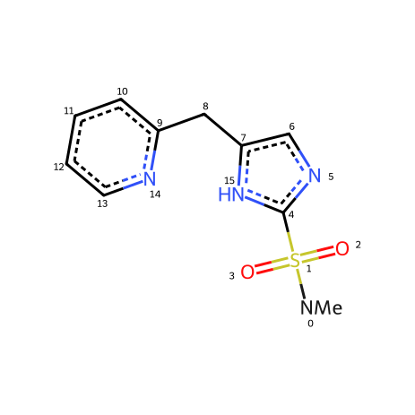 CNS(=O)(=O)c1ncc(Cc2ccccn2)[nH]1